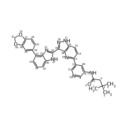 CC(C)(C)CC(=O)Nc1cncc(-c2ccc3[nH]nc(-c4nc5c(-c6ccc7c(c6)OCO7)cccc5[nH]4)c3n2)c1